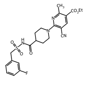 CCOC(=O)c1cc(C#N)c(N2CCC(C(=O)NS(=O)(=O)Cc3cccc(F)c3)CC2)nc1C